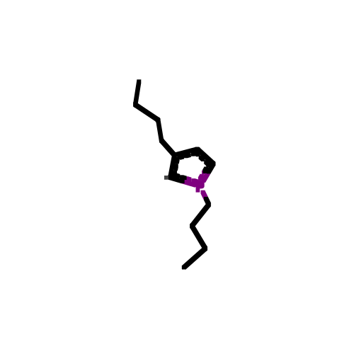 CCCCc1[c]p(CCCC)cc1